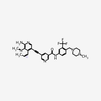 C=Nc1c(N)ncc(C#Cc2cncc(C(=O)Nc3ccc(CN4CCN(C)CC4)c(C(F)(F)F)c3)c2)c1/C=C\C